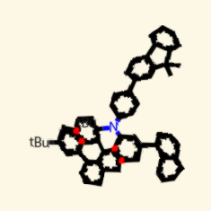 Cc1ccc(N(c2ccc(-c3ccc4c(c3)C(C)(C)c3ccccc3-4)cc2)c2cccc(-c3cccc4ccccc34)c2)c(-c2cccc3cccc(-c4cc(C(C)(C)C)cc(C(C)(C)C)c4)c23)c1